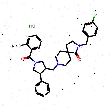 COc1ccccc1C(=O)N1CC(CN2CCC3(CC2)CCN(Cc2ccc(Br)cc2)C3=O)C(c2ccccc2)C1.Cl